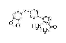 NC(=O)n1ncc(-c2ccc(Cc3ccc4c(c3)OCO4)cc2)c1N